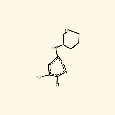 Cc1cc(NC2CCCNC2)nnc1Cl